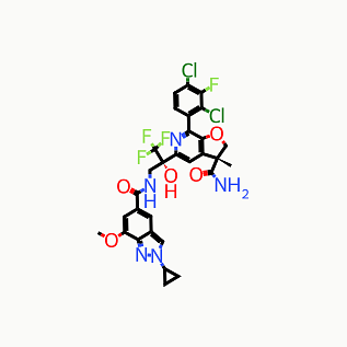 COc1cc(C(=O)NC[C@](O)(c2cc3c(c(-c4ccc(Cl)c(F)c4Cl)n2)OC[C@]3(C)C(N)=O)C(F)(F)F)cc2cn(C3CC3)nc12